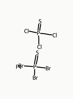 S=P(Br)(Br)Br.S=P(Cl)(Cl)Cl.[Pt]